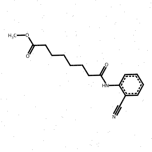 COC(=O)CCCCCCC(=O)Nc1ccccc1C#N